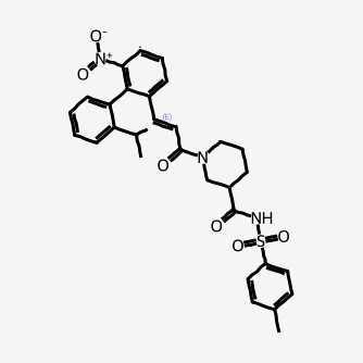 Cc1ccc(S(=O)(=O)NC(=O)C2CCCN(C(=O)/C=C/c3cc[c]c([N+](=O)[O-])c3-c3ccccc3C(C)C)C2)cc1